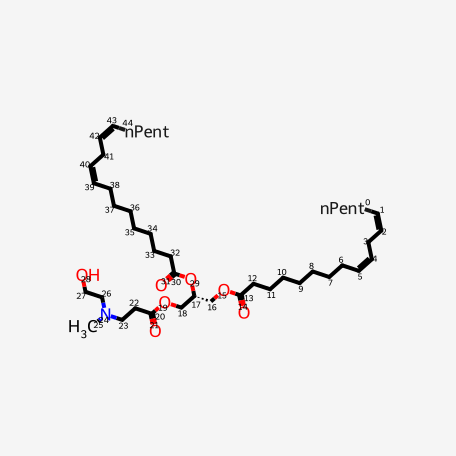 CCCCC/C=C\C/C=C\CCCCCCCC(=O)OC[C@H](COC(=O)CCN(C)CCO)OC(=O)CCCCCCC/C=C\C/C=C\CCCCC